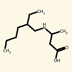 CCCCC(CC)CNC(C)CC(=O)O